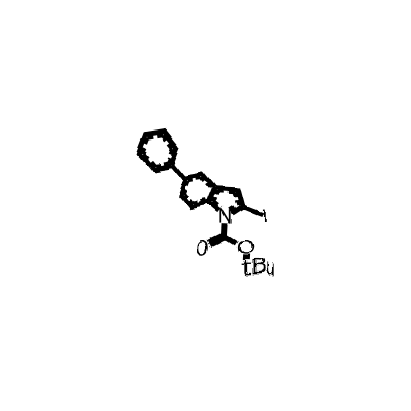 CC(C)(C)OC(=O)n1c(I)cc2cc(-c3ccccc3)ccc21